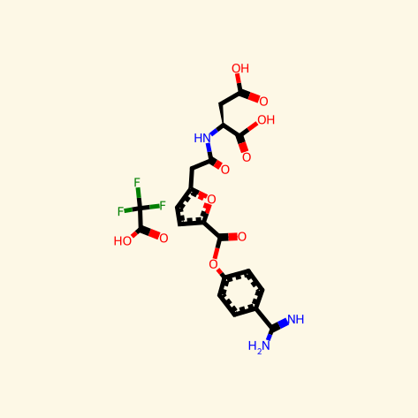 N=C(N)c1ccc(OC(=O)c2ccc(CC(=O)N[C@@H](CC(=O)O)C(=O)O)o2)cc1.O=C(O)C(F)(F)F